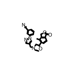 Cc1c(C2CN(Cc3cnn(-c4cccc(C#N)c4)c3)CCO2)ccc2c1COC2=O